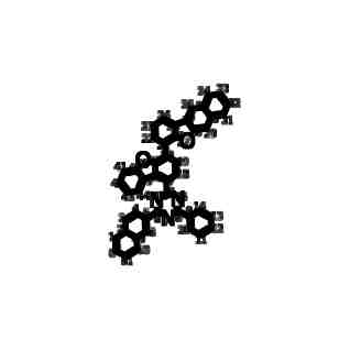 C1=CC2C=CC(c3nc(-c4ccccc4)nc(-c4ccc(-c5cccc6c5oc5cc7ccccc7cc56)c5oc6ccccc6c45)n3)=CC2C=C1